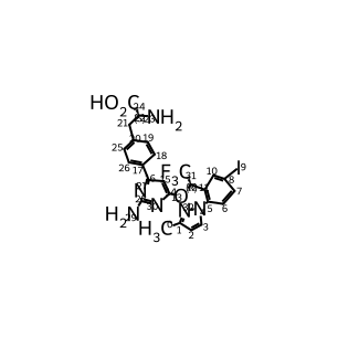 Cc1ccn(-c2ccc(I)cc2[C@@H](Oc2cc(-c3ccc(C[C@H](N)C(=O)O)cc3)nc(N)n2)C(F)(F)F)n1